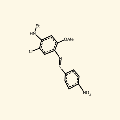 CCNc1cc(OC)c(N=Nc2ccc([N+](=O)[O-])cc2)cc1Cl